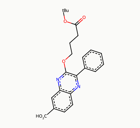 CC(C)(C)OC(=O)CCCOc1nc2cc(C(=O)O)ccc2nc1-c1ccccc1